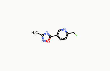 Cc1noc(-c2ccc(CF)nc2)n1